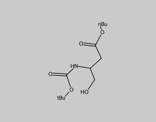 CCCCOC(=O)CC(CO)NC(=O)OC(C)(C)C